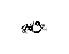 CN1CCn2ncc(-c3cc4c(cc3F)OC/C=C\CCN(C=N)C(=N)c3cccc(n3)NC4=O)c2C1